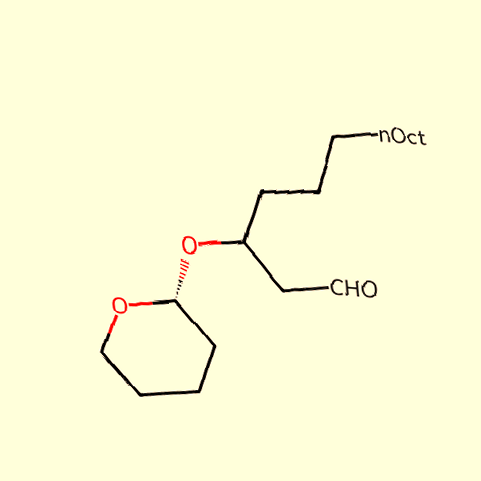 CCCCCCCCCCCC(CC=O)O[C@@H]1CCCCO1